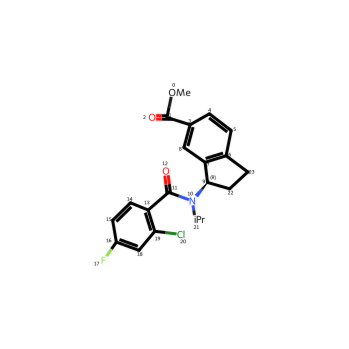 COC(=O)c1ccc2c(c1)[C@H](N(C(=O)c1ccc(F)cc1Cl)C(C)C)CC2